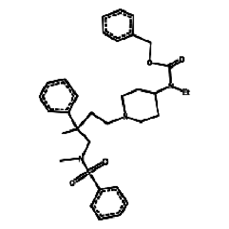 CCN(C(=O)OCc1ccccc1)C1CCN(CCC(C)(CN(C)S(=O)(=O)c2ccccc2)c2ccccc2)CC1